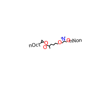 CCCCCCCCCOCC(COCCCCC(C)C(=O)OC1CC1CCCCCCCC)N(C)C